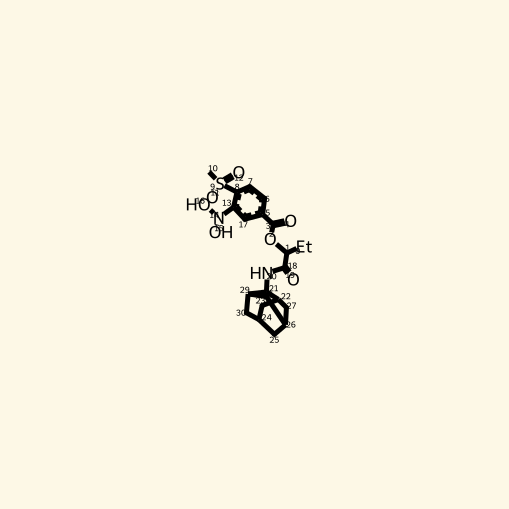 CCC(OC(=O)c1ccc(S(C)(=O)=O)c(N(O)O)c1)C(=O)NC1C2CC3CC(C2)CC1C3